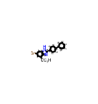 O=C(O)c1cc(Br)cc2[nH]c(-c3ccc(-c4ccccc4)cc3)nc12